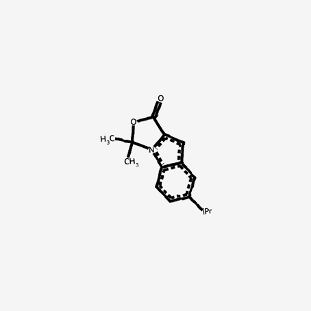 CC(C)c1ccc2c(c1)cc1n2C(C)(C)OC1=O